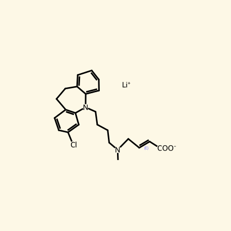 CN(C/C=C/C(=O)[O-])CCCCN1c2ccccc2CCc2ccc(Cl)cc21.[Li+]